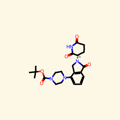 CC(C)(C)OC(=O)N1CCN(c2cccc3c2CN([C@H]2CCC(=O)NC2=O)C3=O)CC1